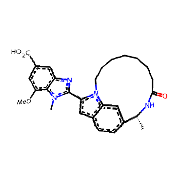 COc1cc(C(=O)O)cc2nc(-c3cc4ccc5cc4n3CCCCCCCC(=O)N[C@@H]5C)n(C)c12